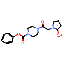 O=C(CN1CCCC1O)N1CCN(C(=O)Oc2ccccc2)CC1